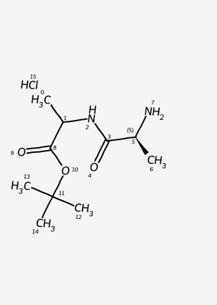 CC(NC(=O)[C@H](C)N)C(=O)OC(C)(C)C.Cl